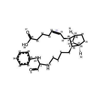 O=CC(NCCCC[C@H]1[C@@H](C/C=C\CCCC(=O)O)[C@H]2CC[C@@H]1O2)Nc1ccccc1